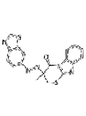 CC1(N=Nc2ccc3ncsc3c2)CSc2nc3ccccc3n2C1=O